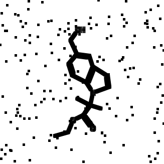 CCOC(=O)C(C)(C)n1ccc2cc(CO)ccc21